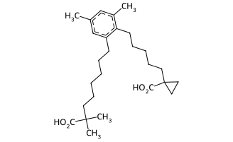 Cc1cc(C)c(CCCCCC2(C(=O)O)CC2)c(CCCCCCC(C)(C)C(=O)O)c1